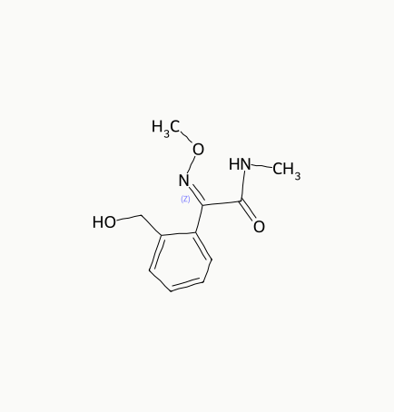 CNC(=O)/C(=N\OC)c1ccccc1CO